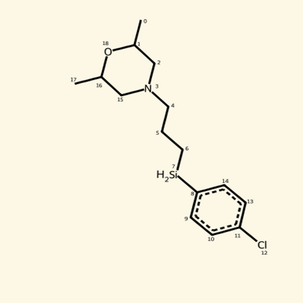 CC1CN(CCC[SiH2]c2ccc(Cl)cc2)CC(C)O1